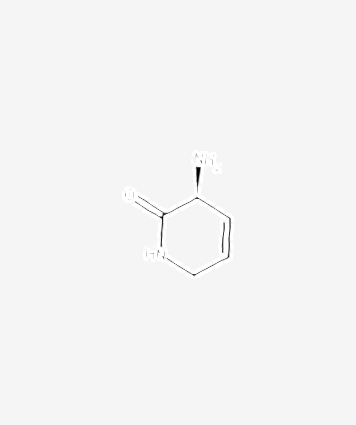 N[C@H]1C=CCNC1=O